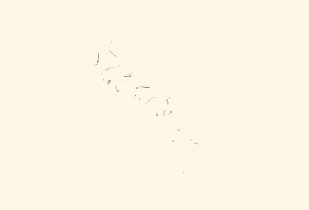 Cc1[nH]c2c(c1C(=O)NCC(O)CN(C)C1CCCCC1)CCC/C2=C1/C(=O)Nc2ccc(F)cc21